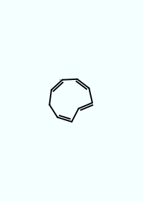 [C]1=C/C\C=C/C=C/C=C\1